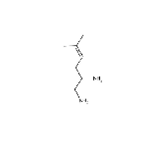 CC(C)=CCC(N)CN